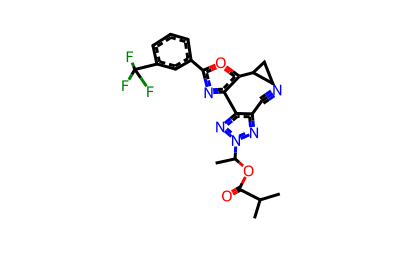 CC(C)C(=O)OC(C)n1nc(C#N)c(-c2nc(-c3cccc(C(F)(F)F)c3)oc2C2CC2)n1